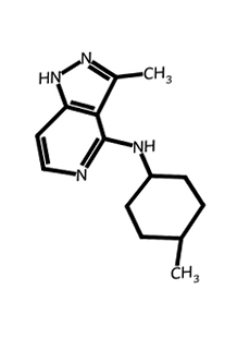 Cc1n[nH]c2ccnc(NC3CCC(C)CC3)c12